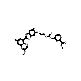 COC(=O)c1cc(NC(=O)OCCOc2cc3sc(-c4cc(C)cc5nc(OC)cnc45)nc3cc2F)ccn1